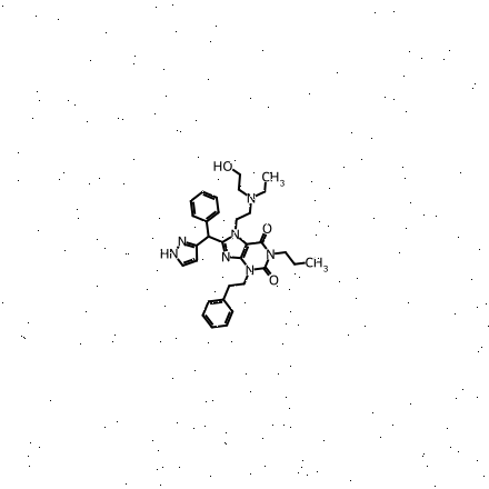 CCCn1c(=O)c2c(nc(C(c3ccccc3)c3cc[nH]n3)n2CCN(CC)CCO)n(CCc2ccccc2)c1=O